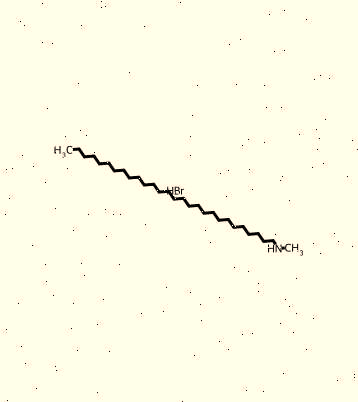 Br.CCCCCCCCCCCCCCCCCCCCCCCCCCCCNC